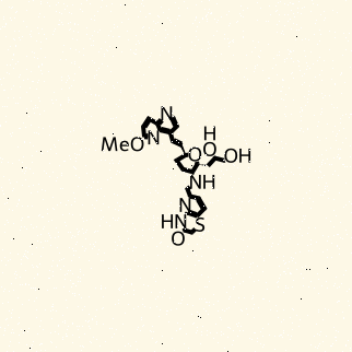 COc1ccc2nccc(C=C[C@@H]3CC[C@@H](NCc4ccc5c(n4)NC(=O)CS5)[C@@H](C[C@@H](O)CO)O3)c2n1